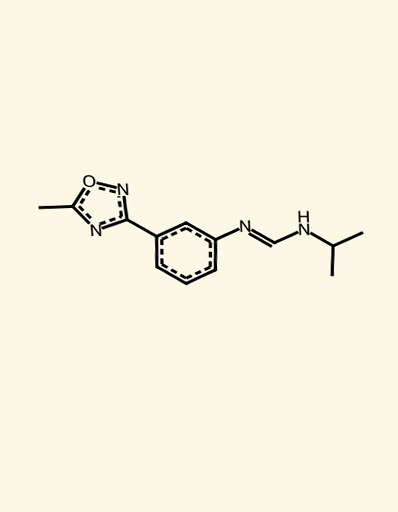 Cc1nc(-c2cccc(N=CNC(C)C)c2)no1